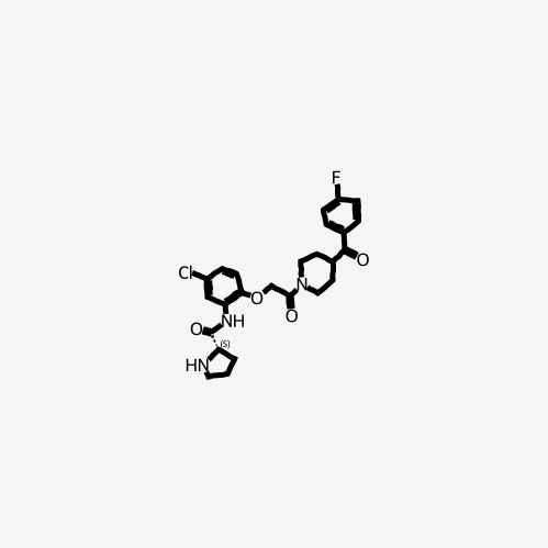 O=C(c1ccc(F)cc1)C1CCN(C(=O)COc2ccc(Cl)cc2NC(=O)[C@@H]2CCCN2)CC1